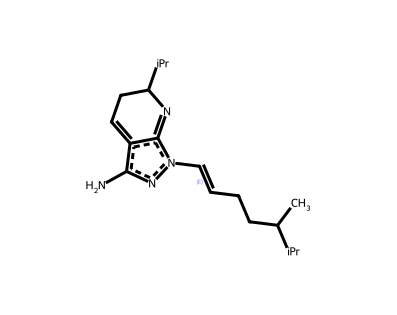 CC(C)C(C)CC/C=C/n1nc(N)c2c1=NC(C(C)C)CC=2